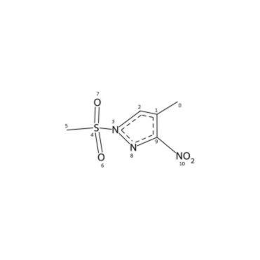 Cc1cn(S(C)(=O)=O)nc1[N+](=O)[O-]